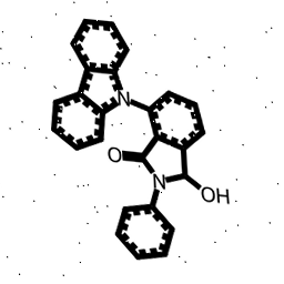 O=C1c2c(cccc2-n2c3ccccc3c3ccccc32)C(O)N1c1ccccc1